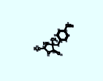 COc1ccc(CC2(C)NC(C)OC2=O)cc1